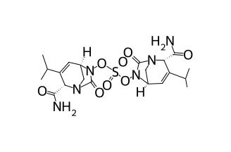 CC(C)C1=C[C@@H]2CN(C(=O)N2OS(=O)(=O)ON2C(=O)N3C[C@H]2C=C(C(C)C)[C@H]3C(N)=O)[C@@H]1C(N)=O